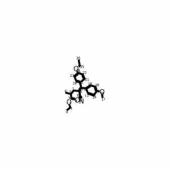 CCOC(=O)C(C)C/C(C#N)=C(/c1ccc(OC)cc1)c1ccc(OCC)cc1